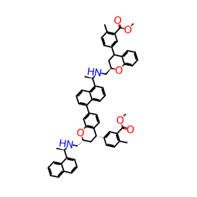 COC(=O)c1cc(C2C[C@H](CN[C@H](C)c3cccc4c(-c5ccc6c(c5)O[C@@H](CN[C@H](C)c5cccc7ccccc57)C[C@H]6c5ccc(C)c(C(=O)OC)c5)cccc34)Oc3ccccc32)ccc1C